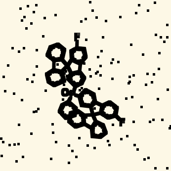 O=P(c1ccccc1)(c1ccc2c(c1)C1(c3ccccc3-c3ccccc31)c1cc(F)ccc1-2)c1ccc2c(c1)C1(c3ccccc3-c3ccccc31)c1cc(F)ccc1-2